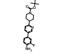 CC(C)(C)OC(=O)N1CCC(c2ccc(-c3ccc(N)c(F)c3)cn2)CC1